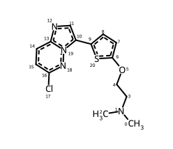 CN(C)CCOc1ccc(-c2cnc3ccc(Cl)nn23)s1